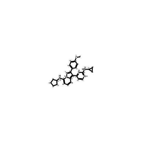 COc1ccc(-c2nn3c(NC4CCCC4)cccc3c2-c2ccnc(NC3CC3)n2)cc1